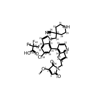 COC1=CC(=O)N(Cc2cc3nccc(-c4cc(Cl)cc5ccn(CC6(C#N)CCNCC6)c45)c3s2)C1=O.O=C(O)C(F)(F)F